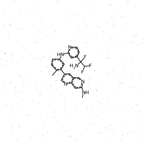 CNc1cc2ncc(-c3cc(Nc4cc(C(N)(F)C(F)F)ccn4)ccc3C)cc2cn1